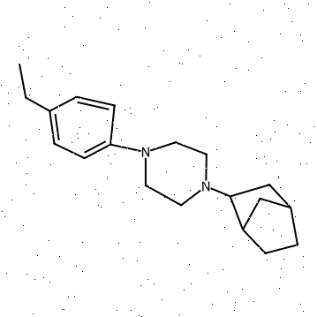 CCc1ccc(N2CCN(C3CC4CCC3C4)CC2)cc1